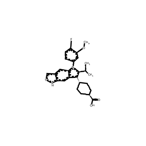 COc1cc(-n2c(C(C)C)c([C@H]3CC[C@H](C(=O)O)CC3)c3cc4[nH]ncc4cc32)ccc1F